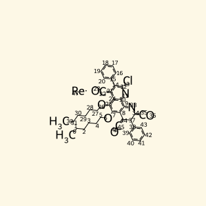 CCCCCCOc1c2c(c3nc(Cl)c(-c4ccccc4)c(=C=O)c3c1OCCCCCC)=NC(=C=O)C(c1ccccc1)C2=C=O.[Re]